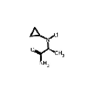 C[C@@H](C(N)=O)N(Cl)C1CC1